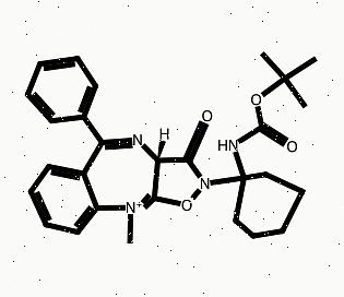 C[N+]1=C2ON(C3(NC(=O)OC(C)(C)C)CCCCC3)C(=O)[C@H]2N=C(c2ccccc2)c2ccccc21